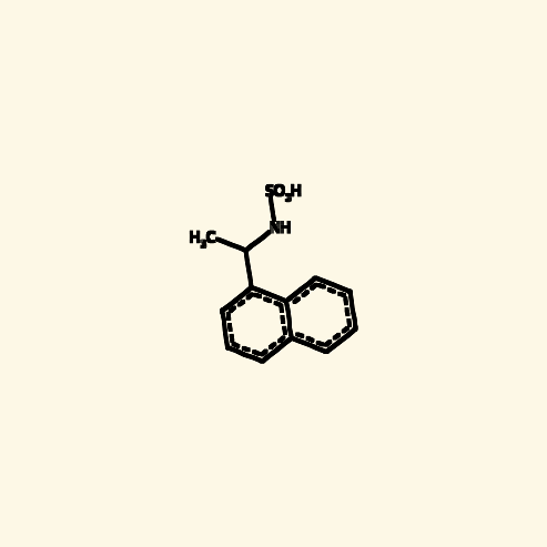 CC(NS(=O)(=O)O)c1cccc2ccccc12